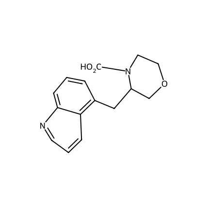 O=C(O)N1CCOCC1Cc1cccc2ncccc12